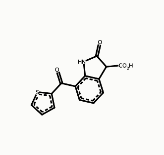 O=C(c1cccs1)c1cccc2c1NC(=O)C2C(=O)O